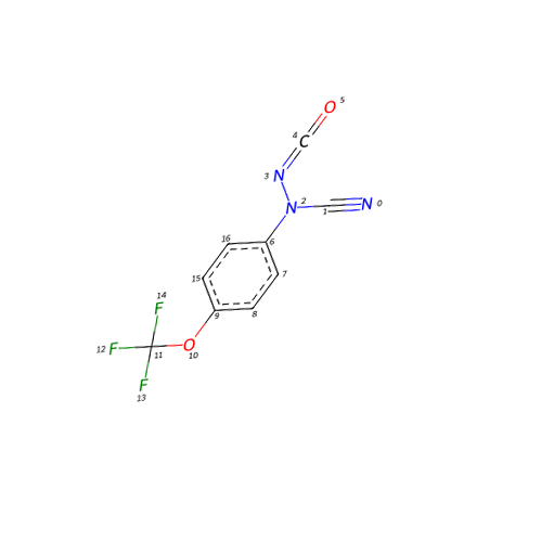 N#CN(N=C=O)c1ccc(OC(F)(F)F)cc1